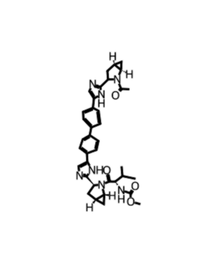 COC(=O)N[C@H](C(=O)N1[C@@H]2C[C@@H]2C[C@H]1c1ncc(-c2ccc(-c3ccc(-c4cnc(C5C[C@H]6C[C@H]6N5C(C)=O)[nH]4)cc3)cc2)[nH]1)C(C)C